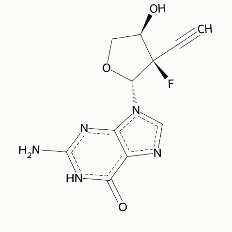 C#C[C@@]1(F)[C@H](O)CO[C@H]1n1cnc2c(=O)[nH]c(N)nc21